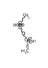 CCCCOP(=O)(O)OCCOCCOP(=O)(O)CCOCC